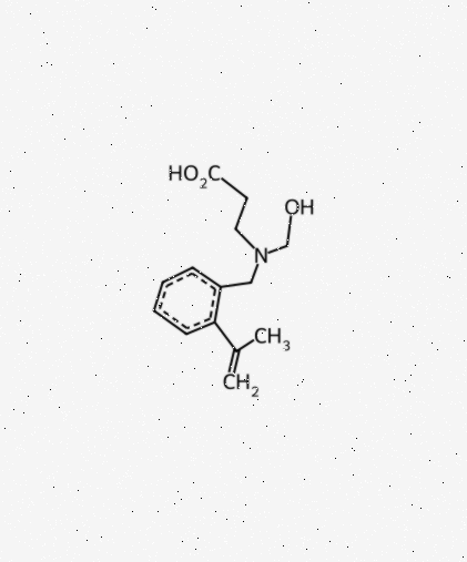 C=C(C)c1ccccc1CN(CO)CCC(=O)O